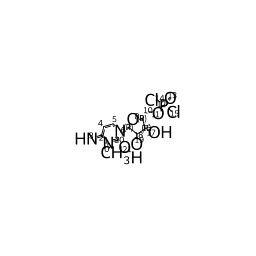 Cn1c(=N)ccn([C@@H]2O[C@H](COP(=O)(Cl)Cl)[C@H](O)C2O)c1=O